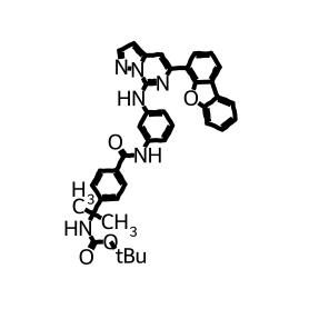 CC(C)(C)OC(=O)NC(C)(C)c1ccc(C(=O)Nc2cccc(Nc3nc(-c4cccc5c4oc4ccccc45)cc4ccnn34)c2)cc1